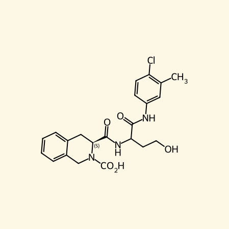 Cc1cc(NC(=O)C(CCO)NC(=O)[C@@H]2Cc3ccccc3CN2C(=O)O)ccc1Cl